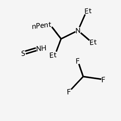 CCCCCC(CC)N(CC)CC.FC(F)F.N=S